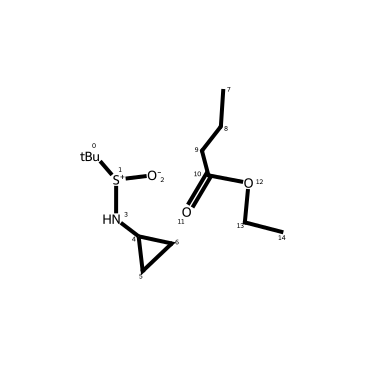 CC(C)(C)[S+]([O-])NC1CC1.CCCC(=O)OCC